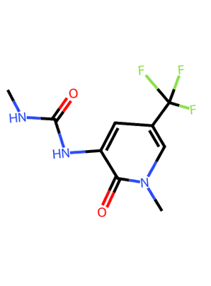 CNC(=O)Nc1cc(C(F)(F)F)cn(C)c1=O